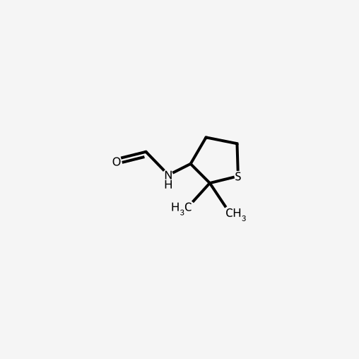 CC1(C)SCCC1NC=O